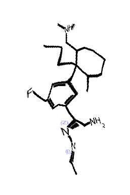 C/C=N/N=C(\N)c1cc(F)cc(C2(CCC)C(C)CCCC2CNC)c1